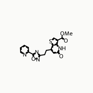 COC(=O)c1csc2c(CCc3noc(-c4ccccn4)n3)cc(=O)[nH]c12